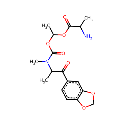 CC(OC(=O)C(C)N)OC(=O)N(C)C(C)C(=O)c1ccc2c(c1)OCO2